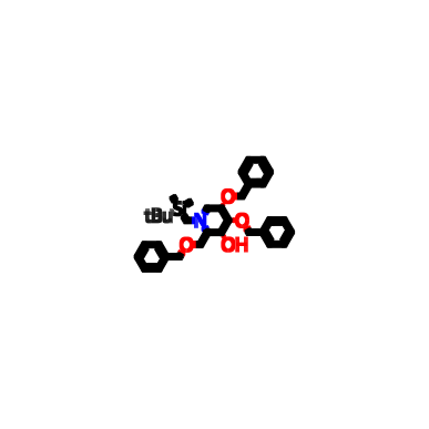 CC(C)(C)[Si](C)(C)CN1C[C@H](OCc2ccccc2)[C@@H](OCc2ccccc2)[C@H](O)C1COCc1ccccc1